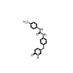 Cc1ccc(NC(=O)Nc2ccc(Cc3ccc(=O)[nH]c3)cc2)cc1